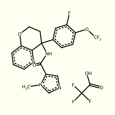 Cn1cncc1C(=O)NC1(c2ccc(OC(F)(F)F)c(F)c2)CCOc2cccnc21.O=C(O)C(F)(F)F